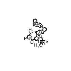 COc1cc(C(=O)N2C[C@H](N)C[C@@H](F)C2)cc2nc(-c3cc4cccc(N5CCN(C6C=CC=CN6C(C)=O)CC5)c4n3CC3CC3)n(Cc3cnn(C)c3)c12